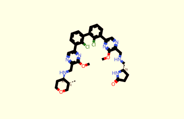 COc1nc(-c2cccc(-c3cccc(-c4cnc(CN[C@@H]5CCOC[C@H]5C)c(OC)n4)c3Cl)c2Cl)cnc1CNC[C@@H]1CCC(=O)N1